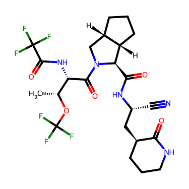 C[C@@H](OC(F)(F)F)[C@H](NC(=O)C(F)(F)F)C(=O)N1C[C@@H]2CCC[C@@H]2[C@H]1C(=O)N[C@H](C#N)C[C@@H]1CCCNC1=O